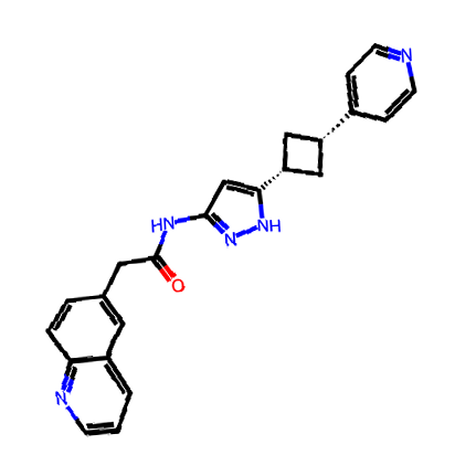 O=C(Cc1ccc2ncccc2c1)Nc1cc([C@H]2C[C@@H](c3ccncc3)C2)[nH]n1